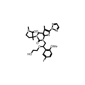 COc1ccc(F)cc1C(Cn1c(=O)n(C2(C)CCN(C)C2=O)c(=O)c2c(C)c(-n3nccn3)sc21)OCCO